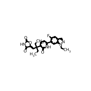 CCn1ncc2cc(F)c(-c3ccc(C(C=C4OC(=O)NC4=O)(CC)CC)c(=O)[nH]3)cc21